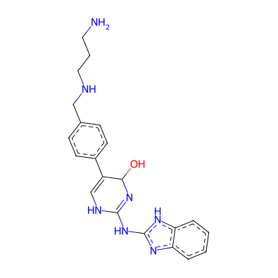 NCCCNCc1ccc(C2=CNC(Nc3nc4ccccc4[nH]3)=NC2O)cc1